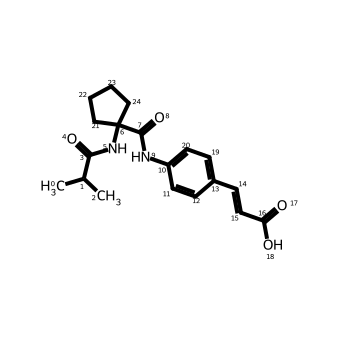 CC(C)C(=O)NC1(C(=O)Nc2ccc(/C=C/C(=O)O)cc2)CCCC1